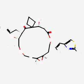 C=CC[C@H]1C(=O)C2(CCC2)[C@@H](O)CC(=O)O[C@H](C(C)=Cc2csc(C)n2)C[C@@H]2O[C@]2(C)CCO[C@H](C)[C@H]1O